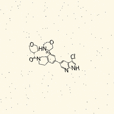 O=C(C1CCOCC1)N1CCc2cc(-c3cnc4[nH]cc(Cl)c4c3)cc([C@@H]3COCCN3)c2C1